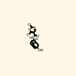 O=C(N[C@H]1C2CC3CC1C[C@@](O)(C3)C2)c1cnc(Cl)nc1Cl